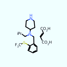 CC(C)CN(Cc1ccccc1SC(F)(F)F)C1CCNCC1.O=C(O)/C=C/C(=O)O